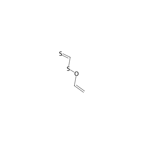 C=COSC=S